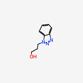 OCCCn1nnc2ccccc21